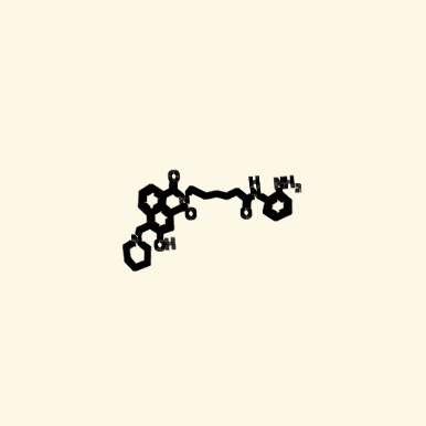 Nc1ccccc1NC(=O)CCCCCN1C(=O)c2cccc3c(CN4CCCCC4)c(O)cc(c23)C1=O